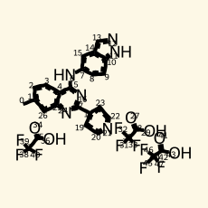 Cc1ccc2c(Nc3ccc4[nH]ncc4c3)nc(-c3ccncc3)nc2c1.O=C(O)C(F)(F)F.O=C(O)C(F)(F)F.O=C(O)C(F)(F)F